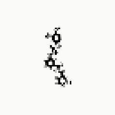 COc1ccc(NC(=O)NCc2cccc(C(=O)NCC3CCCNC3)c2)cc1OC